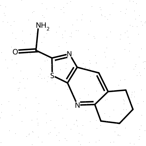 NC(=O)c1nc2cc3c(nc2s1)CCCC3